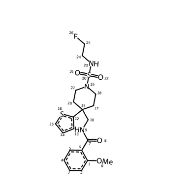 COc1ccccc1C(=O)NCC1(c2cccs2)CCN(S(=O)(=O)NCCF)CC1